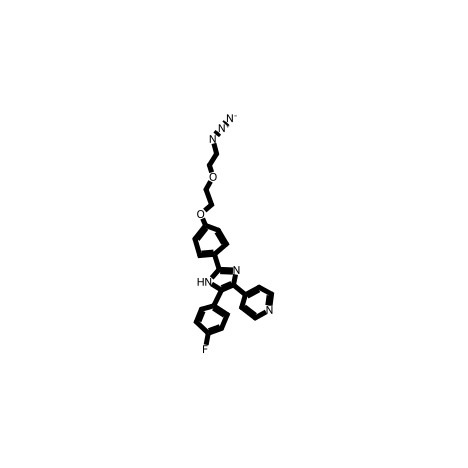 [N-]=[N+]=NCCOCCOc1ccc(-c2nc(-c3ccncc3)c(-c3ccc(F)cc3)[nH]2)cc1